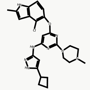 Cc1cc2c(Cl)c(Oc3cc(Nc4cc(C5CCC5)[nH]n4)nc(N4CCN(C)CC4)n3)ccc2[nH]1